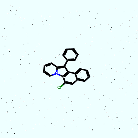 Clc1cc2ccccc2c2c(-c3ccccc3)c3ccccn3c12